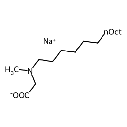 CCCCCCCCCCCCCCN(C)CC(=O)[O-].[Na+]